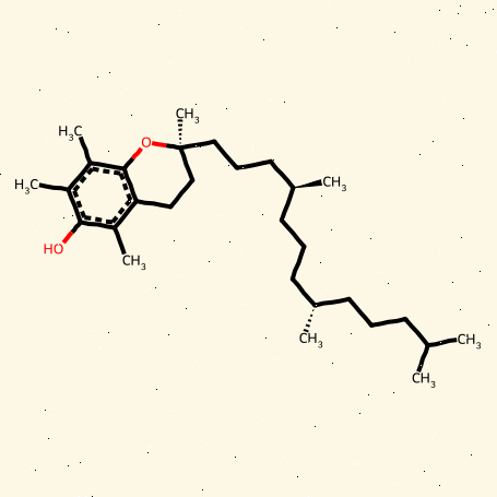 Cc1c(C)c2c(c(C)c1O)CC[C@](C)(CCC[C@@H](C)CCC[C@@H](C)CCCC(C)C)O2